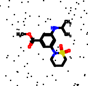 COC(=O)c1cc(NC(C)C)cc(N2CCCCS2(=O)=O)c1